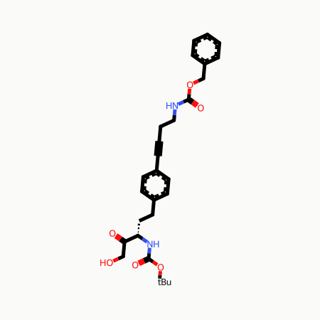 CC(C)(C)OC(=O)N[C@@H](CCc1ccc(C#CCCNC(=O)OCc2ccccc2)cc1)C(=O)CO